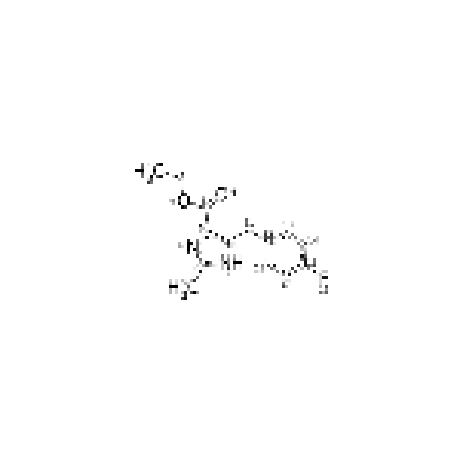 CCOC(=O)c1nc(C)[nH]c1Cc1ccc(F)cc1